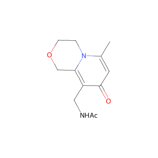 CC(=O)NCc1c2n(c(C)cc1=O)CCOC2